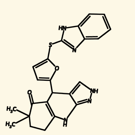 CC1(C)CCC2=C(C1=O)C(c1ccc(Sc3nc4ccccc4[nH]3)o1)c1c[nH]nc1N2